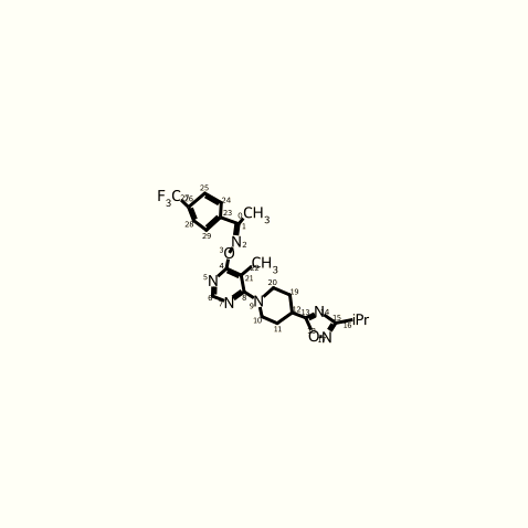 CC(=NOc1ncnc(N2CCC(c3nc(C(C)C)no3)CC2)c1C)c1ccc(C(F)(F)F)cc1